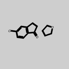 C1CCOC1.O=C1CCc2cc(Cl)ccc21